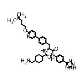 CN(C)CCCOc1ccc(-c2ccc(C[C@H](NC(=O)C3CCC(CN)CC3)C(=O)Nc3ccc(-c4nn[nH]n4)cc3)cc2)cn1